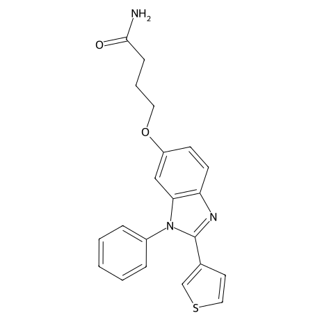 NC(=O)CCCOc1ccc2nc(-c3ccsc3)n(-c3ccccc3)c2c1